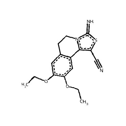 CCOc1cc2c(cc1OCC)-c1c(C#N)sc(=N)n1CC2